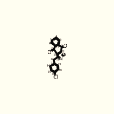 O=C1c2ccccc2C(=O)c2c(Cc3ccc(Cl)cc3)noc21